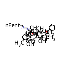 C=C(C)[C@@]1(O)[C@H](O)[C@H]([C@@H]2O[C@]2(CO)[C@@H](O)[C@@]2(O)CC=C(C)C2=O)[C@](C)(OC(C)(C)/C=C/C=C/CCCCC)[C@H](C)[C@H]1OC(=O)c1ccccc1